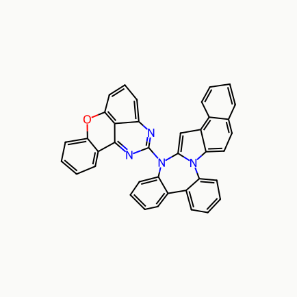 c1ccc2c(c1)Oc1cccc3nc(N4c5ccccc5-c5ccccc5-n5c4cc4c6ccccc6ccc45)nc-2c13